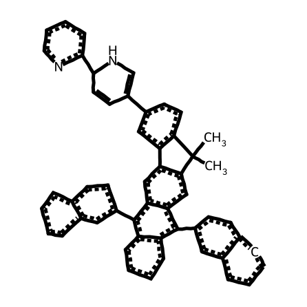 CC1(C)c2ccc(C3=CNC(c4ccccn4)C=C3)cc2-c2cc3c(-c4ccc5ccccc5c4)c4ccccc4c(-c4ccc5ccccc5c4)c3cc21